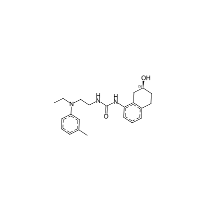 CCN(CCNC(=O)Nc1cccc2c1C[C@@H](O)CC2)c1cccc(C)c1